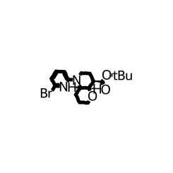 CC(C)(C)OC(=O)[C@@H]1CCN(c2cccc(Br)n2)[C@H]2CCCO[C@H]12